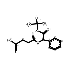 CC(C)(C)OC(=O)C(OC(=O)CCC(=O)O)c1ccccc1